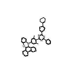 Cc1cc(N2c3ccccc3Oc3c2c2ccccc2c2ccccc32)cc(C)c1-c1nc(-c2ccccc2)nc(-c2ccc(C3=CCCCC3)cc2)n1